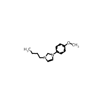 CCCCN1C=CN(c2ccc(OC)cc2)C1